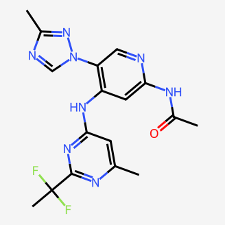 CC(=O)Nc1cc(Nc2cc(C)nc(C(C)(F)F)n2)c(-n2cnc(C)n2)cn1